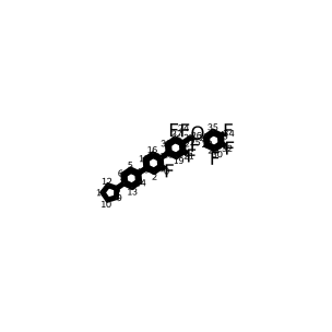 Fc1cc(-c2ccc(C3CCCC3)cc2)ccc1-c1cc(F)c(C(F)(F)Oc2cc(F)c(F)c(F)c2)c(F)c1